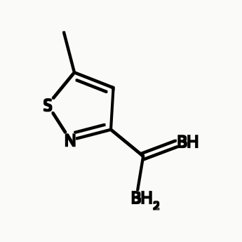 B=C(B)c1cc(C)sn1